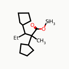 CCC(C1CCCC1)C(C)(C(=O)O[SiH3])C1CCCC1